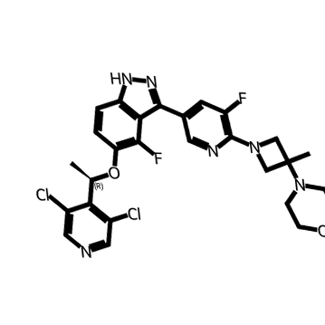 C[C@@H](Oc1ccc2[nH]nc(-c3cnc(N4CC(C)(N5CCOCC5)C4)c(F)c3)c2c1F)c1c(Cl)cncc1Cl